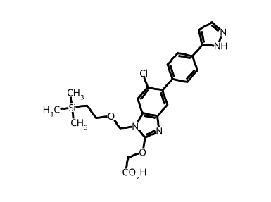 C[Si](C)(C)CCOCn1c(OCC(=O)O)nc2cc(-c3ccc(-c4ccn[nH]4)cc3)c(Cl)cc21